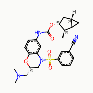 C[C@@H]1C2C[C@H]2C[C@H]1OC(=O)Nc1ccc2c(c1)N(S(=O)(=O)c1cccc(C#N)c1)C[C@H](CN(C)C)O2